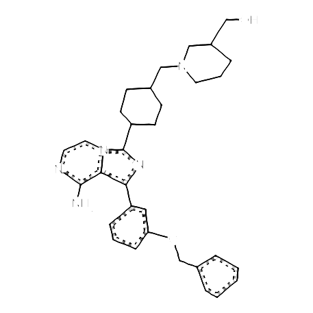 Nc1nccn2c(C3CCC(CN4CCCC(CO)C4)CC3)nc(-c3cccc(OCc4ccccc4)c3)c12